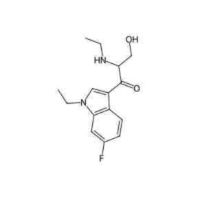 CCNC(CO)C(=O)c1cn(CC)c2cc(F)ccc12